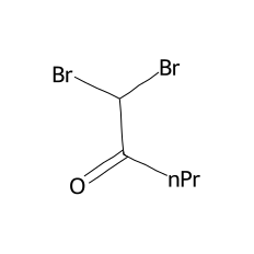 CCCC(=O)C(Br)Br